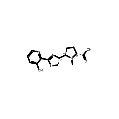 CN1[C@@H](C(=O)O)CC[C@@H]1[C@@H]1COC(c2ncccc2O)=N1